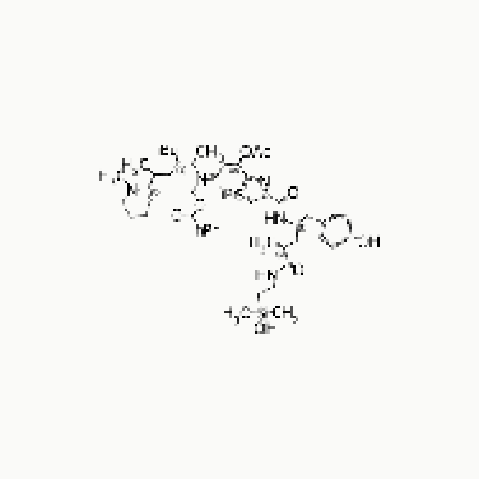 CCCC(=O)OCN(C(C)[C@@H](CC(C)[C@H]1CCCCN1C)C(C)CC)[C@H](C[C@@H](OC(C)=O)c1nc(C(=O)N[C@@H](Cc2ccc(O)cc2)C[C@H](C)C(=O)NCC[Si](C)(C)O)cs1)C(C)C